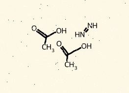 CC(=O)O.CC(=O)O.N=N